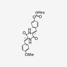 CCCCCCC(=O)Oc1ccc(/C=c2\[nH]c(=O)/c(=C/c3ccc(OC)cc3)[nH]c2=O)cc1